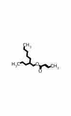 C/C=C/C(=O)OCC(CCC)CCCCC